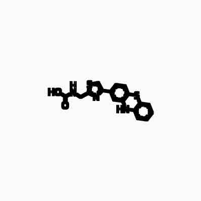 O=C(O)NCc1nc(-c2ccc3c(c2)Nc2ccccc2S3)cs1